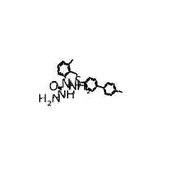 Cc1ccc(-c2ccc(SCc3c(C)cccc3N(N)C(=O)NN)cc2)cc1